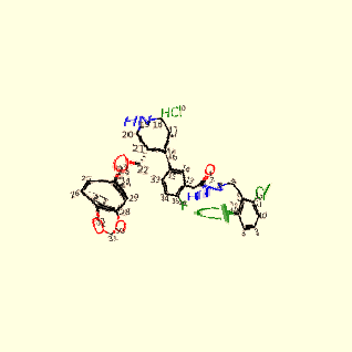 Cl.O=C(NCc1c(Cl)cccc1Cl)c1cc([C@@H]2CCNC[C@H]2COc2ccc3c(c2)OCO3)ccc1F